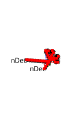 CCCCCCCCCCCCC=C[C@@H](F)[C@H](C[C@H]1O[C@H](COCc2ccccc2)[C@H](OCc2ccccc2)[C@H](OCc2ccccc2)[C@H]1OCc1ccccc1)NC(=O)CCCCCCCCCCCCCCCCCCCCCCCCC